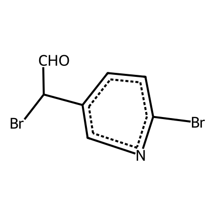 O=CC(Br)c1ccc(Br)nc1